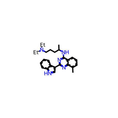 CCN(CC)CCCC(C)Nc1nc(-c2c[nH]c3ccccc23)nc2c(C)cccc12